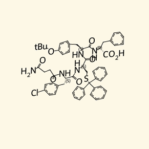 CC(C)(C)Oc1ccc(C[C@H](NC(=O)[C@@H](CSC(c2ccccc2)(c2ccccc2)c2ccccc2)NC(=O)[C@H](Cc2ccc(Cl)cc2)NC(=O)CCC(N)=O)C(=O)N[C@H](Cc2ccccc2)C(=O)O)cc1